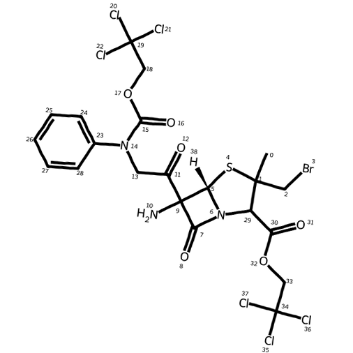 CC1(CBr)S[C@@H]2N(C(=O)C2(N)C(=O)CN(C(=O)OCC(Cl)(Cl)Cl)c2ccccc2)C1C(=O)OCC(Cl)(Cl)Cl